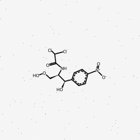 O=C(N[C@H](COO)[C@H](O)c1ccc([N+](=O)[O-])cc1)C(Cl)Cl